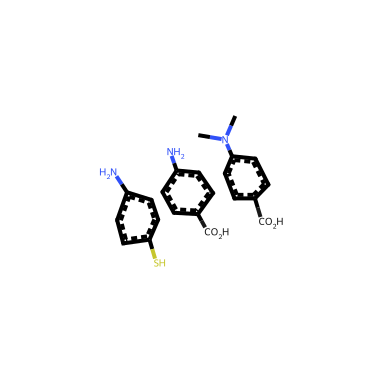 CN(C)c1ccc(C(=O)O)cc1.Nc1ccc(C(=O)O)cc1.Nc1ccc(S)cc1